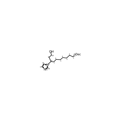 CCCCCCCCCCCCCCCCCC(CCO)n1ccnc1